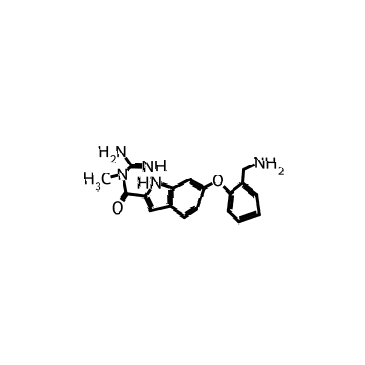 CN(C(=N)N)C(=O)c1cc2ccc(Oc3ccccc3CN)cc2[nH]1